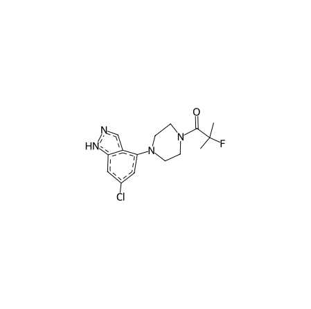 CC(C)(F)C(=O)N1CCN(c2cc(Cl)cc3[nH]ncc23)CC1